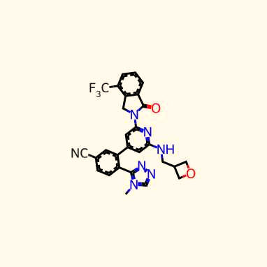 Cn1cnnc1-c1ccc(C#N)cc1-c1cc(NCC2COC2)nc(N2Cc3c(cccc3C(F)(F)F)C2=O)c1